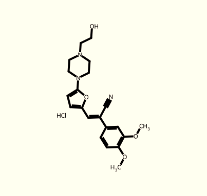 COc1ccc(/C(C#N)=C/c2ccc(N3CCN(CCO)CC3)o2)cc1OC.Cl